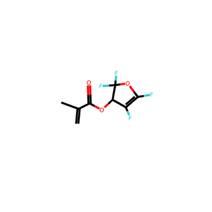 C=C(C)C(=O)OC1C(F)=C(F)OC1(F)F